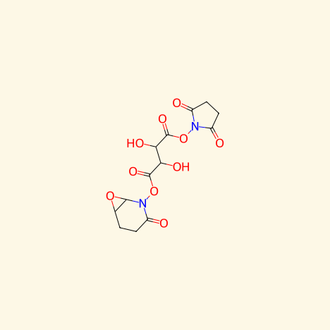 O=C(ON1C(=O)CCC1=O)C(O)C(O)C(=O)ON1C(=O)CCC2OC21